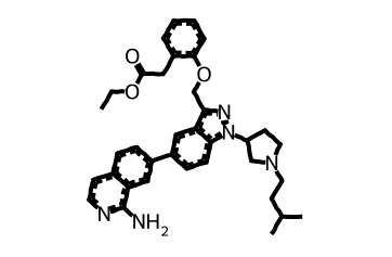 CCOC(=O)Cc1ccccc1OCc1nn(C2CCN(CCC(C)C)C2)c2ccc(-c3ccc4ccnc(N)c4c3)cc12